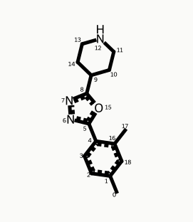 Cc1ccc(-c2nnc(C3CCNCC3)o2)c(C)c1